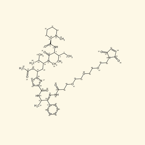 CCC(C)C(NC(=O)[C@H]1CCCCN1C)C(=O)N(C)C(CC(OC(C)=O)c1nc(C(=O)NC(C)C(=NNC(=O)CCOCCOCCOCCN2C(=O)C=CC2=O)c2ccccc2)cs1)C(C)C